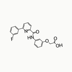 O=C(O)COc1cccc(NC(=O)c2cccc(-c3cccc(F)c3)n2)c1